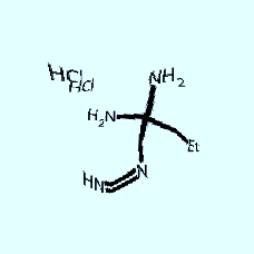 CCC(N)(N)N=N.Cl.Cl